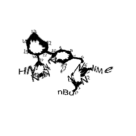 CCCCc1nc(NC)n(Cc2ccc(-c3ccccc3-c3nnn[nH]3)nc2)n1